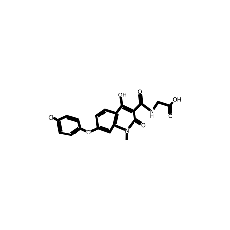 Cn1c(=O)c(C(=O)NCC(=O)O)c(O)c2ccc(Oc3ccc(Cl)cc3)cc21